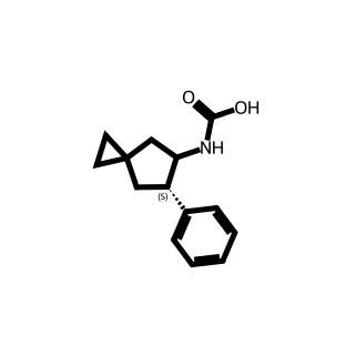 O=C(O)NC1CC2(CC2)C[C@H]1c1ccccc1